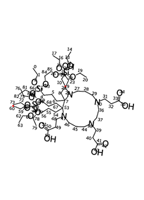 CCO[Si](CCCC1(CCC[Si](OCC)(OCC)OCC)N(CCC(=O)O)CCCN(CCC(=O)O)CCN(CCC(=O)O)CCCN(CCC(=O)O)C1(CCC[Si](OCC)(OCC)OCC)CCC[Si](OCC)(OCC)OCC)(OCC)OCC